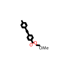 COCCOC(=O)c1ccc(C#Cc2ccc(C)cc2)cc1